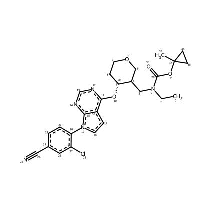 CCN(CC1COCC[C@H]1Oc1ncnc2c1ccn2-c1ccc(C#N)cc1Cl)C(=O)OC1(C)CC1